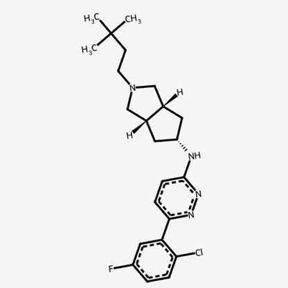 CC(C)(C)CCN1C[C@H]2C[C@@H](Nc3ccc(-c4cc(F)ccc4Cl)nn3)C[C@H]2C1